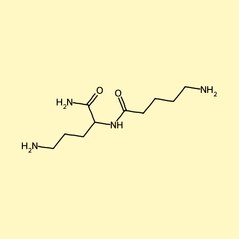 NCCCCC(=O)NC(CCCN)C(N)=O